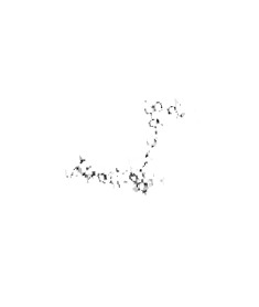 COc1ncc(-c2ccc3nccc(-c4ccc(COC(=O)NCCSSCC(NC(=O)CCC(=O)NCc5cc(C(=O)NC(C)C(=O)N6CC(F)(F)C[C@H]6C#N)ccn5)C(=O)N[C@@H]5[C@@H](O)[C@H](C)C(O)O[C@H]5CO)nc4)c3c2)cc1N